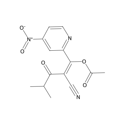 CC(=O)OC(=C(C#N)C(=O)C(C)C)c1cc([N+](=O)[O-])ccn1